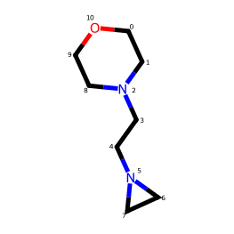 C1CN(CCN2CC2)CCO1